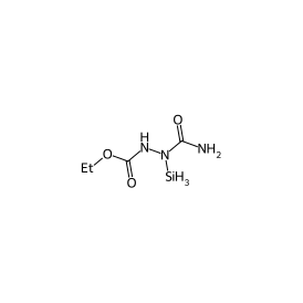 CCOC(=O)NN([SiH3])C(N)=O